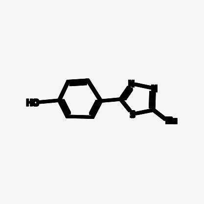 CCC(C)c1nnc(-c2ccc(O)cc2)s1